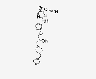 C#COc1nc(Nc2cccc(OC[C@@H](O)CN3CCC(Cc4ccccc4)CC3)c2)ncc1Br